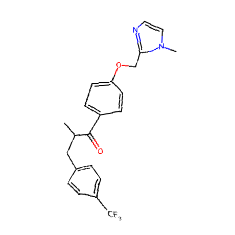 CC(Cc1ccc(C(F)(F)F)cc1)C(=O)c1ccc(OCc2nccn2C)cc1